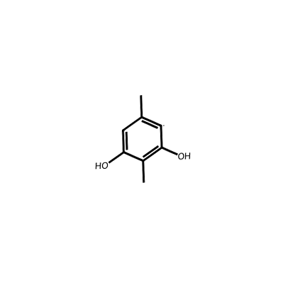 Cc1[c]c(O)c(C)c(O)c1